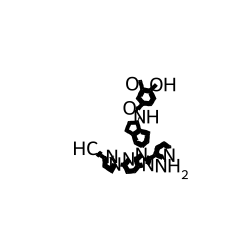 C#Cc1ccn(-c2ccc3nc(-c4cccnc4N)n(-c4ccc5c(c4)CC[C@@H]5NC(=O)c4ccc(O)c(C=O)c4)c3n2)n1